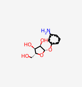 Nc1cccc(O[C@@H]2O[C@H](CO)[C@@H](O)[C@H]2O)c1